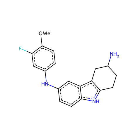 COc1ccc(Nc2ccc3[nH]c4c(c3c2)CC(N)CC4)cc1F